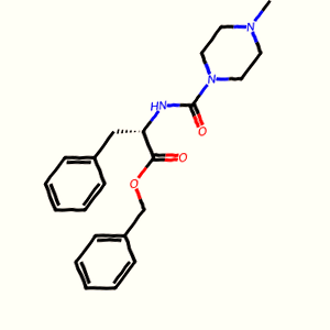 CN1CCN(C(=O)N[C@@H](Cc2ccccc2)C(=O)OCc2ccccc2)CC1